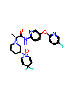 C[C@@H](C(=O)Nc1ccc(Oc2ccc(F)cn2)cn1)N1CCC[C@H]([N+]2([O-])C=CC(F)(F)C=C2)C1